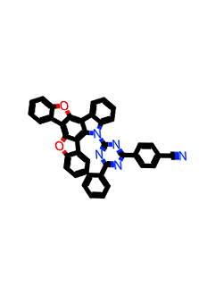 N#Cc1ccc(-c2nc(-c3ccccc3)nc(-n3c4ccccc4c4c5oc6ccccc6c5c5oc6ccccc6c5c43)n2)cc1